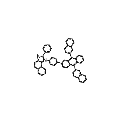 c1ccc(-c2nc3ccc4ccccc4c3n2-c2ccc(-c3ccc4c(-c5ccc6ccccc6c5)c5ccccc5c(-c5ccc6ccccc6c5)c4c3)cc2)cc1